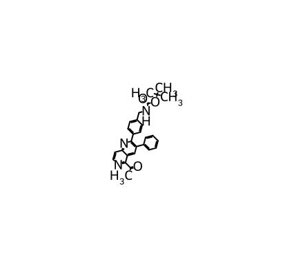 CC(=O)c1nccc2nc(-c3ccc(CNC(=O)OC(C)(C)C)cc3)c(-c3ccccc3)cc12